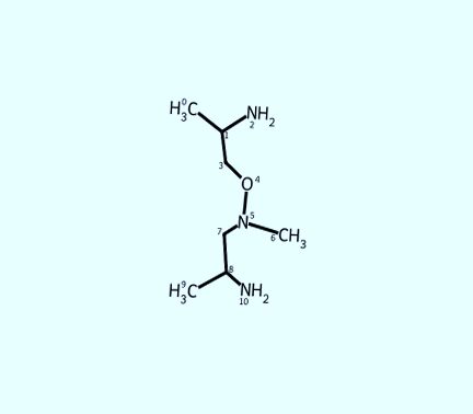 CC(N)CON(C)CC(C)N